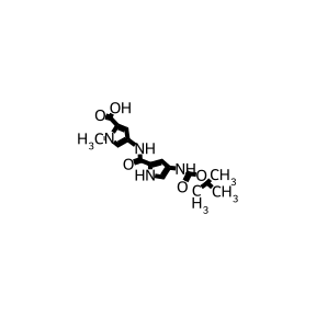 Cn1cc(NC(=O)c2cc(NC(=O)OC(C)(C)C)c[nH]2)cc1C(=O)O